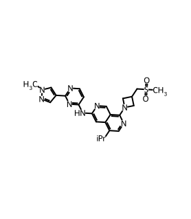 CC(C)c1cnc(N2CC(CS(C)(=O)=O)C2)c2cnc(Nc3ccnc(-c4cnn(C)c4)n3)cc12